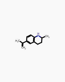 C=C(C)c1ccc2c(c1)CCC(C)N2